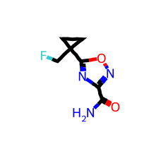 NC(=O)c1noc(C2(CF)CC2)n1